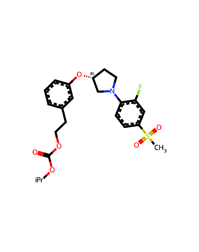 CC(C)OC(=O)OCCc1cccc(O[C@@H]2CCN(c3ccc(S(C)(=O)=O)cc3F)C2)c1